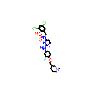 CN1CCCC(COc2ccc(Nc3nccc(N(Cc4cc(Cl)cc(Cl)c4)C(=O)O)n3)cc2F)C1